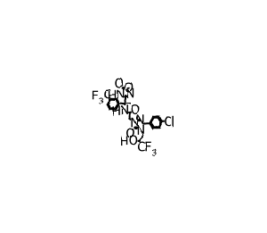 C[C@@](NC(=O)Cn1nc(-c2ccc(Cl)cc2)n(C[C@H](O)C(F)(F)F)c1=O)(c1cccc(C(F)(F)F)c1)c1noc(=O)[nH]1